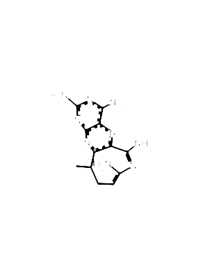 CC1C/C=C(N)/N=C(/N)c2nc3c(N)nc(N)nc3nc21